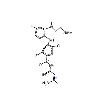 CNCCN(C)c1cc(F)ccc1Nc1cc(F)c([S+]([O-])NC(=N)/C=C(/C)N)cc1Cl